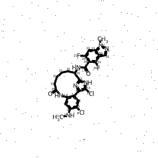 CNc1cc2c(cc1Cl)-c1nc([nH]c1Cl)C(NC(=O)c1c(F)cc3c(cnn3C)c1F)CCCCC(=O)N2